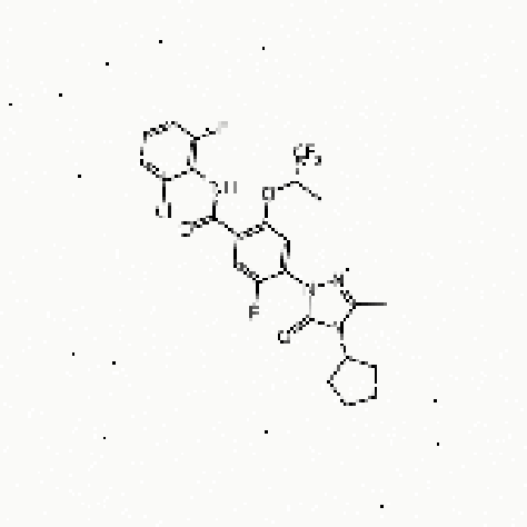 Cc1nn(-c2cc(O[C@@H](C)C(F)(F)F)c(C(=O)Nc3c(F)cccc3Cl)cc2F)c(=O)n1C1CCCC1